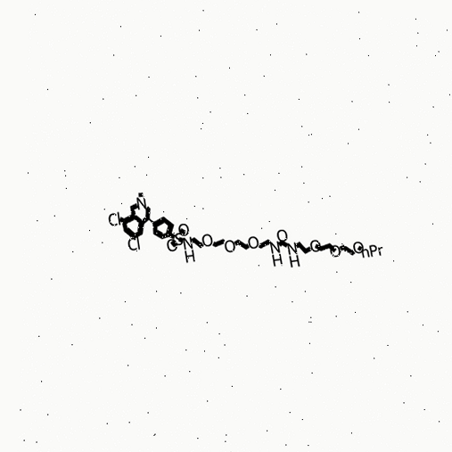 CCCOCCOCCOCCNC(=O)NCCOCCOCCOCCNS(=O)(=O)c1ccc([C@@H]2CN(C)Cc3c(Cl)cc(Cl)cc32)cc1